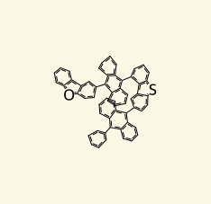 c1ccc(-c2c3ccccc3c(-c3ccc4sc5cccc(-c6c7ccccc7c(-c7ccc8oc9ccccc9c8c7)c7ccccc67)c5c4c3)c3ccccc23)cc1